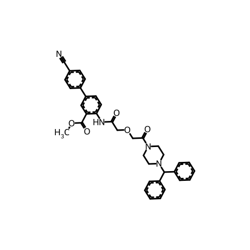 COC(=O)c1cc(-c2ccc(C#N)cc2)ccc1NC(=O)COCC(=O)N1CCN(C(c2ccccc2)c2ccccc2)CC1